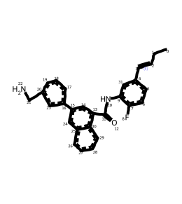 CC/C=C/c1ccc(F)c(NC(=O)c2cc(-c3cccc(CN)c3)cc3ccccc23)c1